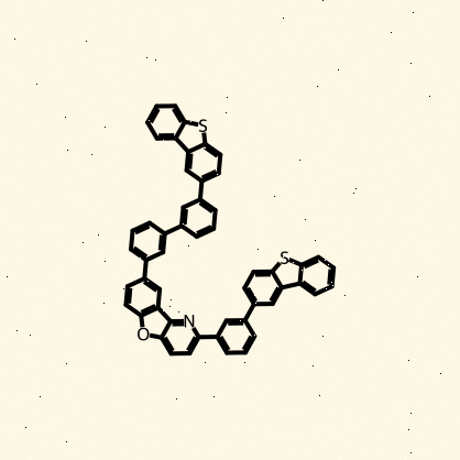 c1cc(-c2cccc(-c3ccc4oc5ccc(-c6cccc(-c7ccc8sc9ccccc9c8c7)c6)nc5c4c3)c2)cc(-c2ccc3sc4ccccc4c3c2)c1